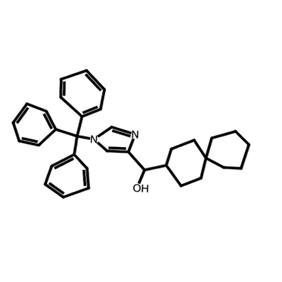 OC(c1cn(C(c2ccccc2)(c2ccccc2)c2ccccc2)cn1)C1CCC2(CCCCC2)CC1